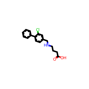 O=C(O)CCCNCc1ccc(-c2ccccc2)c(Cl)c1